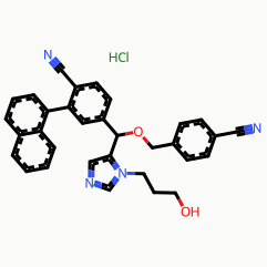 Cl.N#Cc1ccc(COC(c2ccc(C#N)c(-c3cccc4ccccc34)c2)c2cncn2CCCO)cc1